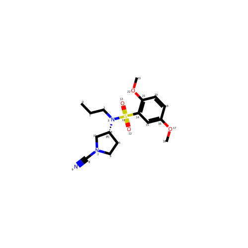 CCCN([C@@H]1CCN(C#N)C1)S(=O)(=O)c1cc(OC)ccc1OC